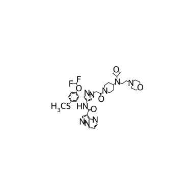 CSc1ccc(OC(F)F)c(-c2nn(CC(=O)N3CCC(N(CCN4CCOCC4)C4COC4)CC3)cc2NC(=O)c2cnn3cccnc23)c1